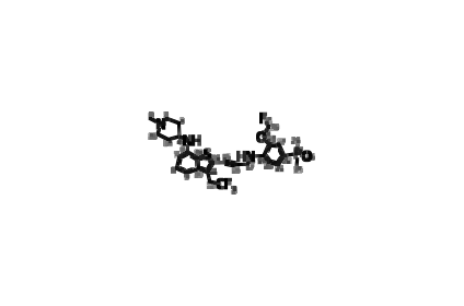 CN1CCC(Nc2cccc3c(CC(F)(F)F)c(C#CCNc4ccc(P(C)(C)=O)cc4OCF)sc23)CC1